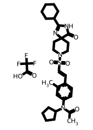 CC(=O)N(c1ccc(C=CS(=O)(=O)N2CCC3(CC2)N=C(C2CCCCC2)NC3=O)c(C)c1)C1CCCC1.O=C(O)C(F)(F)F